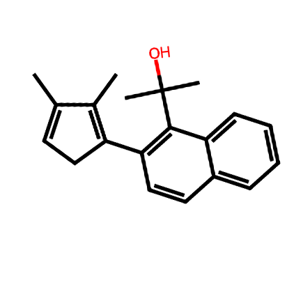 CC1=CCC(c2ccc3ccccc3c2C(C)(C)O)=C1C